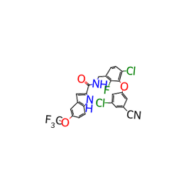 N#Cc1cc(Cl)cc(Oc2c(Cl)ccc(CNC(=O)c3cc4cc(OC(F)(F)F)ccc4[nH]3)c2F)c1